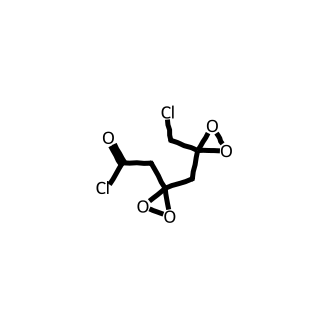 O=C(Cl)CC1(CC2(CCl)OO2)OO1